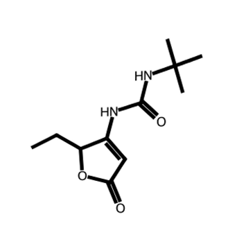 CCC1OC(=O)C=C1NC(=O)NC(C)(C)C